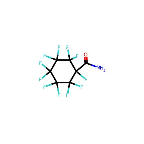 NC(=O)C1(F)C(F)(F)C(F)(F)C(F)(F)C(F)(F)C1(F)F